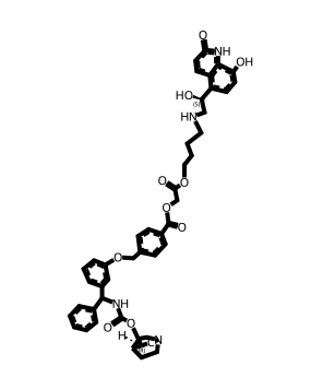 O=C(COC(=O)c1ccc(COc2cccc(C(NC(=O)O[C@H]3CN4CCC3CC4)c3ccccc3)c2)cc1)OCCCCNC[C@@H](O)c1ccc(O)c2[nH]c(=O)ccc12